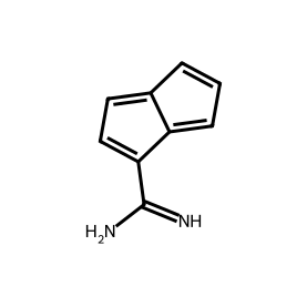 N=C(N)C1=CC=C2C=CC=C21